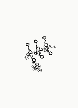 COCC1(N(OCc2ccccc2)C(C)=O)CCN(CCc2cccs2)CC1.COCC1(N(OCc2ccccc2)C(C)=O)CCN(CCc2cccs2)CC1.COCC1(N(OCc2ccccc2)C(C)=O)CCN(CCc2cccs2)CC1.O=C(O)CC(O)(CC(=O)O)C(=O)O